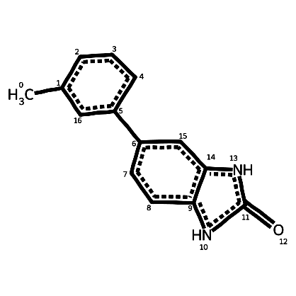 Cc1cccc(-c2ccc3[nH]c(=O)[nH]c3c2)c1